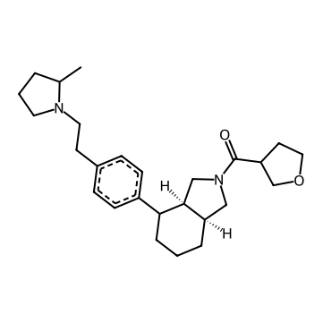 CC1CCCN1CCc1ccc(C2CCC[C@@H]3CN(C(=O)C4CCOC4)C[C@H]23)cc1